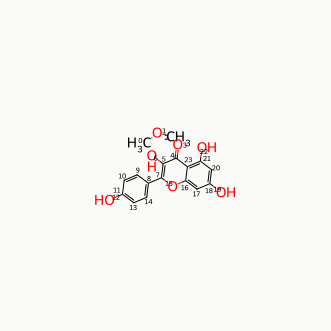 COC.O=c1c(O)c(-c2ccc(O)cc2)oc2cc(O)cc(O)c12